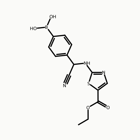 CCOC(=O)c1cnc(NC(C#N)c2ccc(B(O)O)cc2)s1